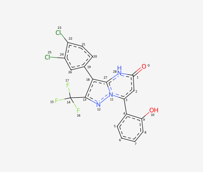 O=c1cc(-c2ccccc2O)n2nc(C(F)(F)F)c(-c3ccc(Cl)c(Cl)c3)c2[nH]1